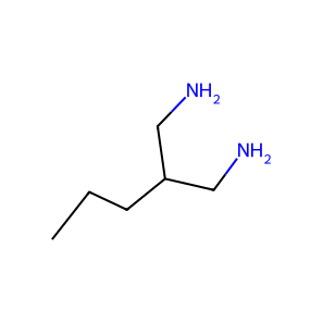 CCCC(CN)CN